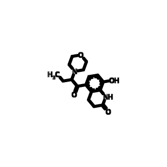 CCC(C(=O)c1ccc(O)c2c1CCC(=O)N2)N1CCOCC1